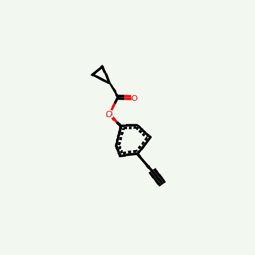 C#Cc1ccc(OC(=O)C2CC2)cc1